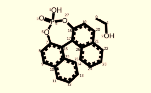 CCO.O=P1(O)Oc2ccc3ccccc3c2-c2c(ccc3ccccc23)O1